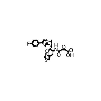 O=C(O)C1OC1C(=O)N[C@@H](Cc1cscn1)C(=O)Nc1nc(-c2ccc(F)cc2)cs1